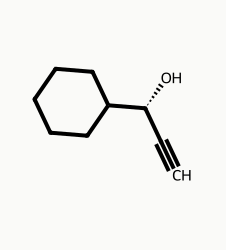 C#C[C@@H](O)C1CCCCC1